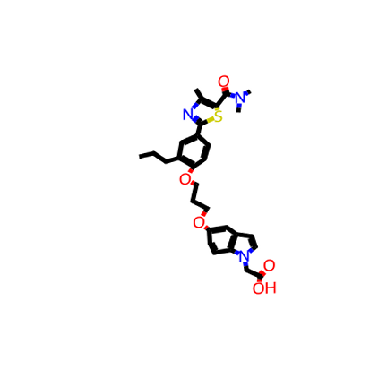 CCCc1cc(-c2nc(C)c(C(=O)N(C)C)s2)ccc1OCCCOc1ccc2c(ccn2CC(=O)O)c1